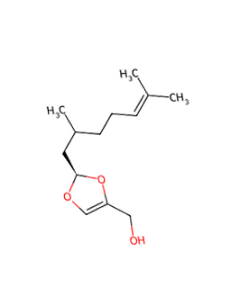 CC(C)=CCCC(C)C[C@@H]1OC=C(CO)O1